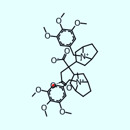 COc1cc(C[N+]2(C)C3CCC2CC(C(CC(=O)[O-])(C(=O)[O-])C2CC4CCC(C2)[N+]4(C)Cc2cc(OC)c(OC)c(OC)c2)C3)cc(OC)c1OC